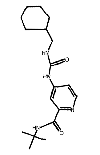 CC(C)(C)NC(=O)c1cc(NC(=O)NCC2CCCCC2)ccn1